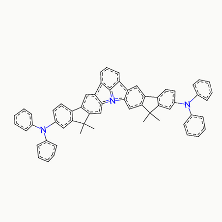 CC1(C)c2cc(N(c3ccccc3)c3ccccc3)ccc2-c2cc3c4cccc5c6cc7c(cc6n(c3cc21)c45)C(C)(C)c1cc(N(c2ccccc2)c2ccccc2)ccc1-7